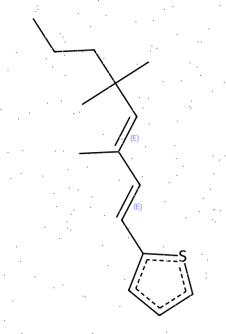 CCCC(C)(C)/C=C(C)/C=C/c1cccs1